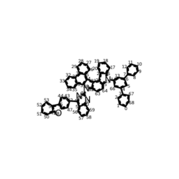 c1ccc(-c2cc(-c3ccccc3)cc(-n3c4ccccc4c4c5c6c7ccccc7c7ccccc7c6n(-c6nc(-c7ccc8c(c7)oc7ccccc78)c7ccccc7n6)c5ccc43)c2)cc1